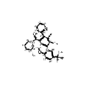 Cc1c(F)ccc(C(=O)N2CCC[C@@H](C)[C@H]2COc2ccc(C(F)(F)F)cn2)c1-c1ncccn1